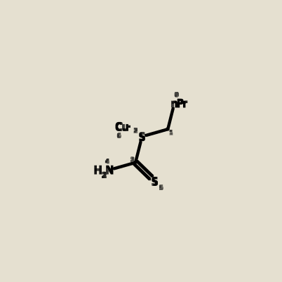 CCCCSC(N)=S.[Cu]